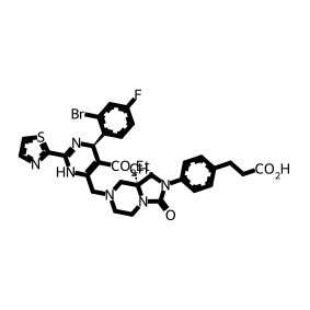 CCOC(=O)C1=C(CN2CCN3C(=O)N(c4ccc(CCC(=O)O)cc4)C[C@]3(C)C2)NC(c2nccs2)=N[C@H]1c1ccc(F)cc1Br